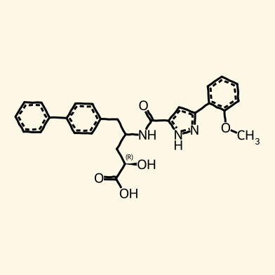 COc1ccccc1-c1cc(C(=O)NC(Cc2ccc(-c3ccccc3)cc2)C[C@@H](O)C(=O)O)[nH]n1